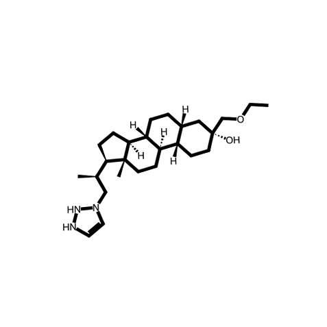 CCOC[C@@]1(O)CC[C@H]2[C@H](CC[C@@H]3[C@@H]2CC[C@]2(C)[C@@H]([C@H](C)CN4C=CNN4)CC[C@@H]32)C1